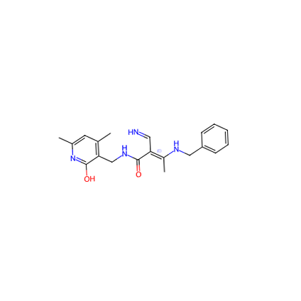 C/C(NCc1ccccc1)=C(/C=N)C(=O)NCc1c(C)cc(C)nc1O